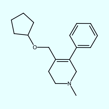 CN1CCC(COC2CCCC2)=C(c2ccccc2)C1